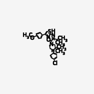 COc1ccc(-c2csc(N[C@@H](C(=O)N3CC[C@H](c4ccc(Cl)cc4)C(C)(C)C3)C(C)C)n2)cc1